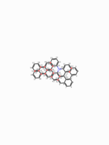 c1ccc(-c2cccc3cccc(-c4ccccc4N(c4ccccc4-c4cccc5c4ccc4ccccc45)c4ccccc4-c4cccc5c4ccc4ccccc45)c23)cc1